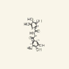 O=C(CNC(=O)c1cc(O)c(O)c(O)c1)c1cc(O)c(O)c(O)c1